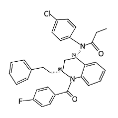 CCC(=O)N(c1ccc(Cl)cc1)[C@H]1C[C@@H](CCc2ccccc2)N(C(=O)c2ccc(F)cc2)c2ccccc21